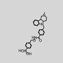 CN1CCC2C(C1)c1ccccc1N2Cc1ccc(C(=O)NOCc2ccc(B(O)O)cc2)cc1